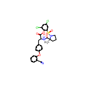 C[C@@]1(C(=O)NC(Cc2ccc(Oc3ccccc3C#N)cc2)C(=O)O)CCCN1S(=O)(=O)c1cc(Cl)cc(Cl)c1